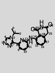 CC(C)n1cnnc1-c1cccc(Nc2cccc3c2C(=O)NC(=O)C3)n1